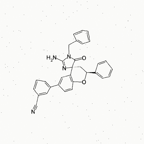 N#Cc1cccc(-c2ccc3c(c2)[C@@]2(C[C@@H](c4ccccc4)O3)N=C(N)N(Cc3ccccc3)C2=O)c1